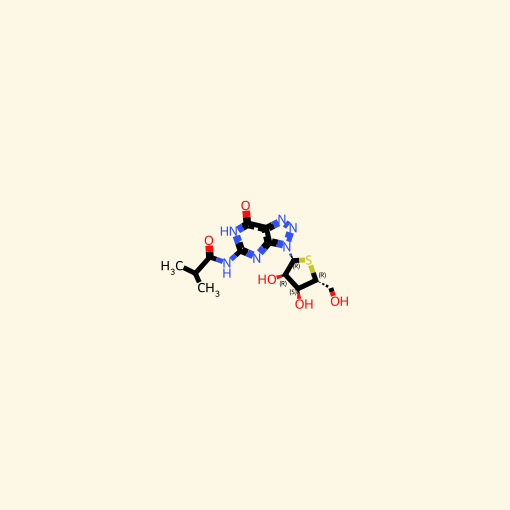 CC(C)C(=O)Nc1nc2c(nnn2[C@@H]2S[C@H](CO)[C@@H](O)[C@H]2O)c(=O)[nH]1